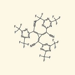 N#CC(=C1C(=C(C#N)c2nc(C(F)(F)F)nc(C(F)(F)F)n2)C1=C(C#N)c1nc(C(F)(F)F)nc(C(F)(F)F)n1)c1nc(C(F)(F)F)nc(C(F)(F)F)n1